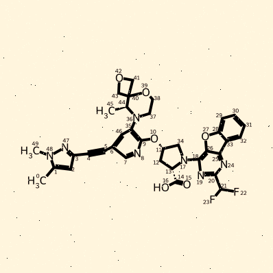 Cc1cc(C#Cc2cnc(O[C@H]3C[C@@H](C(=O)O)N(c4nc(C(F)F)nc5c4oc4ccccc45)C3)c(N3CCOC4(COC4)[C@@H]3C)c2)nn1C